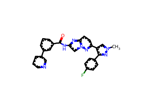 Cn1cc(-c2ccc3nc(NC(=O)c4cccc(-c5cccnc5)c4)cn3n2)c(-c2ccc(F)cc2)n1